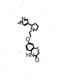 Cn1cc(C2CCCN2CCOc2ccc3c(c2)SCC(=O)N3)cn1